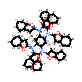 C1=CC2C=C(N3c4oc5ccccc5c4B4c5c3c3c6c(c5N(c5cc7ccccc7o5)c5oc7ccccc7c54)N(c4cc5ccccc5o4)c4oc5ccccc5c4B6c4c(oc5ccccc45)N3c3cc4ccccc4o3)OC2C=C1